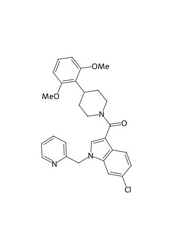 COc1cccc(OC)c1C1CCN(C(=O)c2cn(Cc3ccccn3)c3cc(Cl)ccc23)CC1